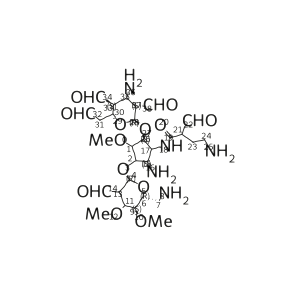 COC1C(O[C@H]2O[C@H](CN)[C@@H](OC)C(OC)C2C=O)[C@@H](N)C(NC(=O)C(C=O)CCN)[C@@H]1O[C@H]1OC(CC=O)[C@@H](C=O)C(N)[C@@H]1C=O